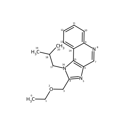 CCOCc1nc2cnc3ccccc3c2n1CC(C)C